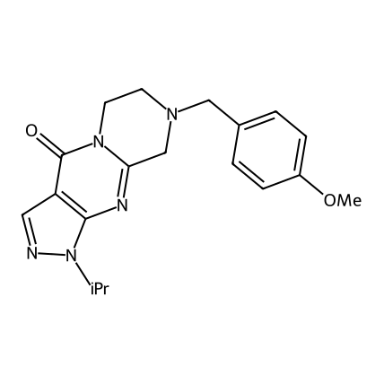 COc1ccc(CN2CCn3c(nc4c(cnn4C(C)C)c3=O)C2)cc1